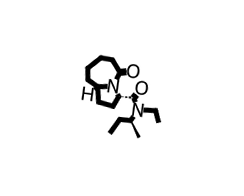 CC[C@H](C)N(CC)C(=O)[C@@H]1CC[C@@H]2CCCCC(=O)N21